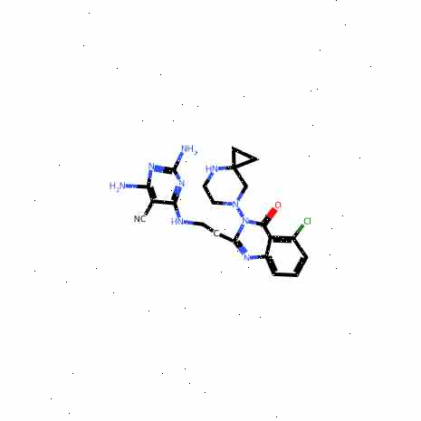 N#Cc1c(N)nc(N)nc1NCCc1nc2cccc(Cl)c2c(=O)n1N1CCNC2(CC2)C1